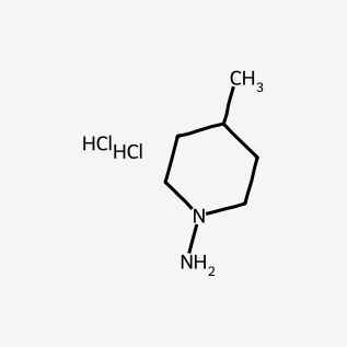 CC1CCN(N)CC1.Cl.Cl